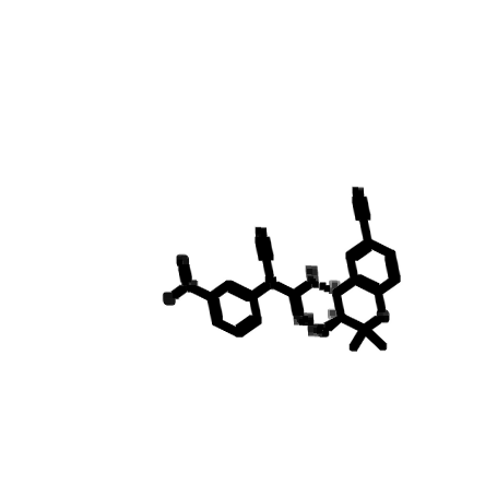 CC1(C)Oc2ccc(C#N)cc2[C@@H](NC(=N)N(C#N)c2cccc([N+](=O)[O-])c2)[C@@H]1O